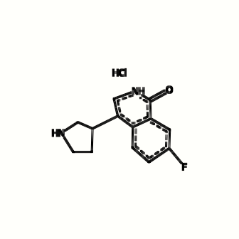 Cl.O=c1[nH]cc(C2CCNC2)c2ccc(F)cc12